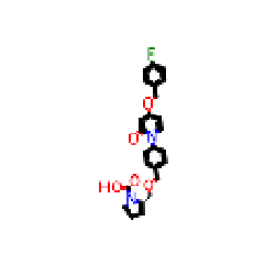 O=C(O)N1CCC[C@H]1COCc1ccc(-n2ccc(OCc3ccc(F)cc3)cc2=O)cc1